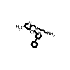 Cc1cnc(CN(CCCCN)Cc2cc(-c3ccccc3)ccn2)c(C)c1